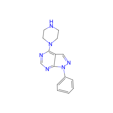 c1ccc(-n2ncc3c(N4CCNCC4)ncnc32)cc1